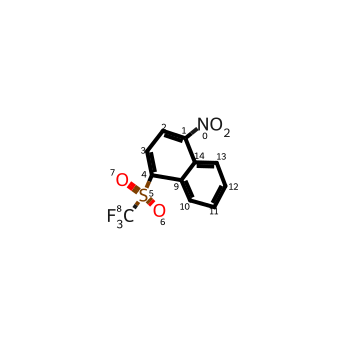 O=[N+]([O-])c1ccc(S(=O)(=O)C(F)(F)F)c2ccccc12